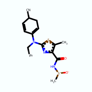 Cc1sc(N(CC(C)C)C2=CCC(C#N)C=C2)nc1C(=O)N[S+](C)[O-]